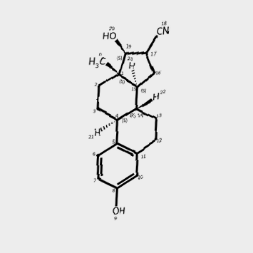 C[C@]12CC[C@@H]3c4ccc(O)cc4CC[C@H]3[C@@H]1CC(C#N)[C@@H]2O